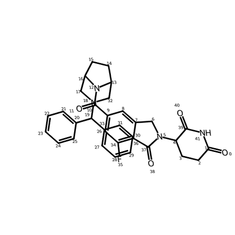 O=C1CCC(N2Cc3cc(C(=O)N4C5CCC4CN(C(c4ccccc4)c4ccccc4)C5)cc(F)c3C2=O)C(=O)N1